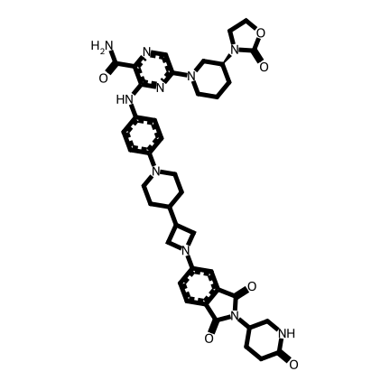 NC(=O)c1ncc(N2CCC[C@H](N3CCOC3=O)C2)nc1Nc1ccc(N2CCC(C3CN(c4ccc5c(c4)C(=O)N(C4CCC(=O)NC4)C5=O)C3)CC2)cc1